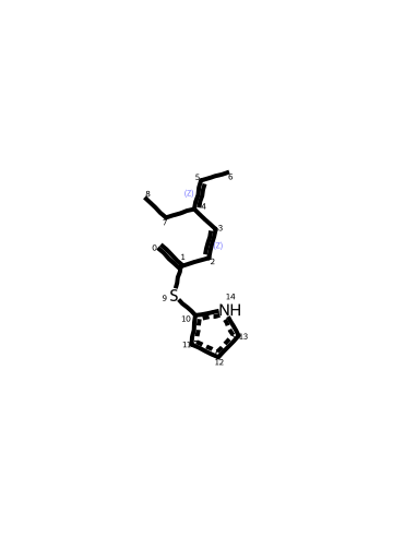 C=C(/C=C\C(=C/C)CC)Sc1ccc[nH]1